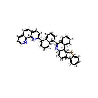 c1cnc2c(c1)ccc1ccc(-c3cccc4c(-c5nc6ccc7c8ccccc8sc7c6c6ccccc56)cccc34)nc12